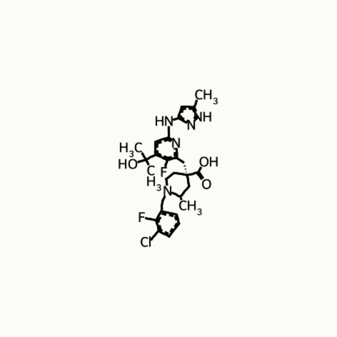 Cc1cc(Nc2cc(C(C)(C)O)c(F)c(C[C@@]3(C(=O)O)CCN(Cc4cccc(Cl)c4F)[C@H](C)C3)n2)n[nH]1